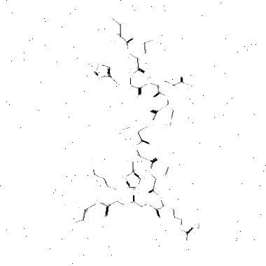 CC(C)C[C@H](NC(=O)[C@H](CC(C)C)NC(=O)[C@H](CCC(N)=O)NC(=O)[C@H](Cc1c[nH]cn1)NC(=O)[C@H](CCC(=O)O)NC(=O)[C@@H](N)CO)C(=O)N[C@@H](Cc1c[nH]cn1)C(=O)N[C@@H](CC(=O)O)C(=O)N[C@@H](CCCNC(=N)N)C(=O)NCC(=O)N[C@@H](CCCCN)C(=O)N[C@@H](CO)C(=O)O